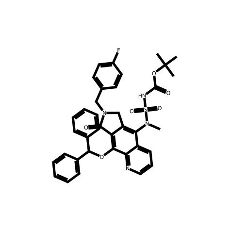 CN(c1c2c(c(OC(c3ccccc3)c3ccccc3)c3ncccc13)C(=O)N(Cc1ccc(F)cc1)C2)S(=O)(=O)NC(=O)OC(C)(C)C